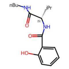 CCCCNC(=O)[C@@H](NC(=O)c1ccccc1O)C(C)C